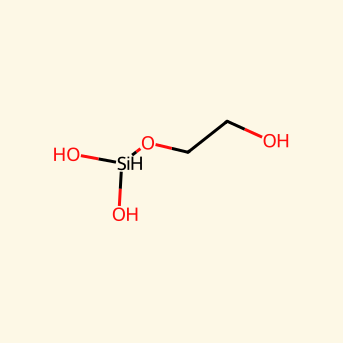 OCCO[SiH](O)O